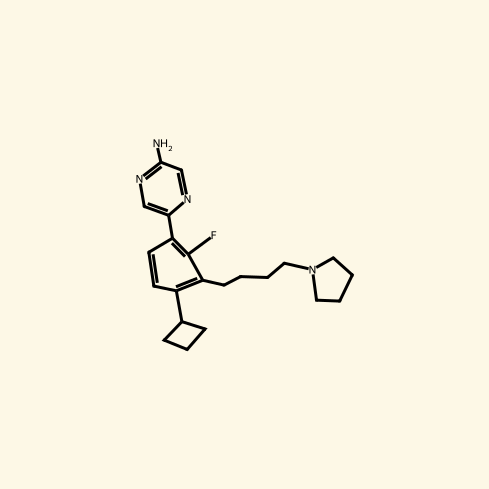 Nc1cnc(-c2ccc(C3CCC3)c(CCCCN3CCCC3)c2F)cn1